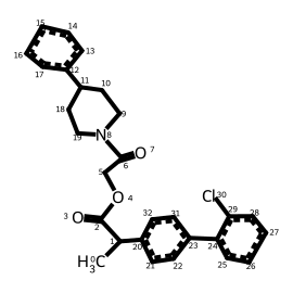 CC(C(=O)OCC(=O)N1CCC(c2ccccc2)CC1)c1ccc(-c2ccccc2Cl)cc1